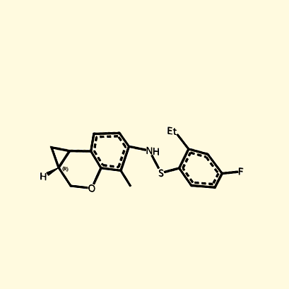 CCc1cc(F)ccc1SNc1ccc2c(c1C)OC[C@@H]1CC21